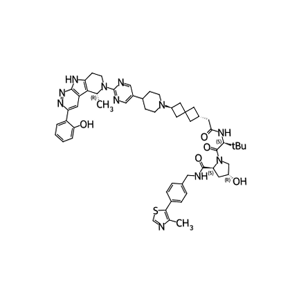 Cc1ncsc1-c1ccc(CNC(=O)[C@@H]2C[C@@H](O)CN2C(=O)[C@@H](NC(=O)C[C@H]2CC3(C2)C[C@H](N2CCC(c4cnc(N5CCc6[nH]c7nnc(-c8ccccc8O)cc7c6[C@H]5C)nc4)CC2)C3)C(C)(C)C)cc1